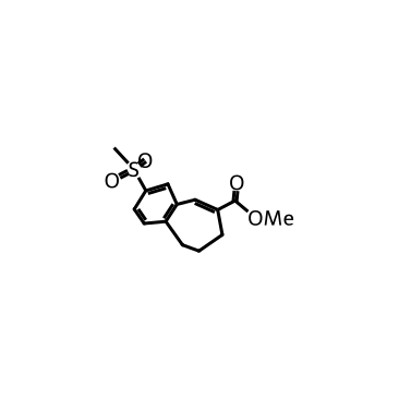 COC(=O)C1=Cc2cc(S(C)(=O)=O)ccc2CCC1